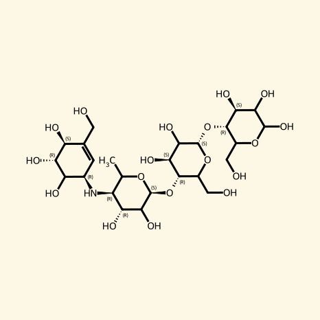 CC1O[C@@H](O[C@H]2C(CO)O[C@@H](O[C@H]3C(CO)OC(O)C(O)[C@@H]3O)C(O)[C@@H]2O)C(O)[C@H](O)[C@H]1N[C@@H]1C=C(CO)[C@H](O)[C@@H](O)C1O